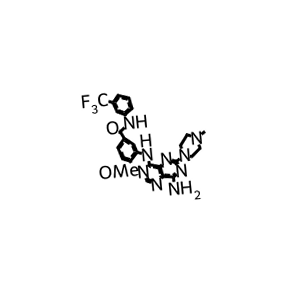 COc1ccc(C(=O)Nc2cccc(C(F)(F)F)c2)cc1Nc1ncnc2c(N)nc(N3CCN(C)CC3)nc12